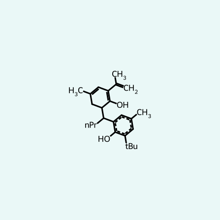 C=C(C)C1=C(O)C(C(CCC)c2cc(C)cc(C(C)(C)C)c2O)CC(C)=C1